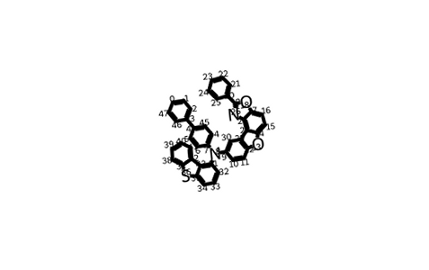 c1ccc(-c2ccc(N(c3ccc4oc5ccc6oc(-c7ccccc7)nc6c5c4c3)c3cccc4sc5ccccc5c34)cc2)cc1